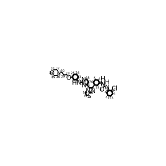 O=C(Nc1cccc(-c2nc3sccn3c2-c2ccnc(Nc3cccc(OCCCN4CCOCC4)c3)n2)c1)Nc1ccccc1Cl